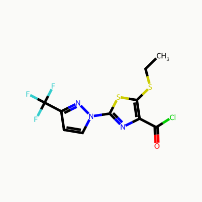 CCSc1sc(-n2ccc(C(F)(F)F)n2)nc1C(=O)Cl